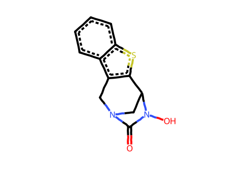 O=C1N2Cc3c(sc4ccccc34)C(C2)N1O